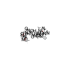 C=C(N)[C@H](CC(C)C)N(C)C(=C)C[C@@H](C(=C)N(C)C)N(C)C(=O)[C@H](C1CCCC1)N(C)C(=O)C1(NC(=O)CN(CCC)C(=O)CNC(=O)CN(C)C(=O)[C@H](Cc2ccc(C)cc2)N(CC)C(=O)CN(CC)C(=O)[C@H](C)N(C)C(=O)C[C@@H](C)CC)CCCC1